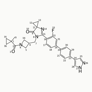 CC1(C(=O)N2CC(CN3C(=O)C4(CC4)N=C3c3ccc(-c4ccc(-c5cn[nH]c5)cc4)cc3F)C2)CC1